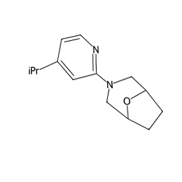 CC(C)c1ccnc(N2CC3CCC(C2)O3)c1